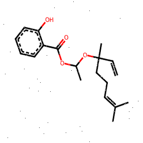 C=CC(C)(CCC=C(C)C)OC(C)OC(=O)c1ccccc1O